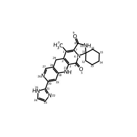 Cc1c2c(c(=O)n3c1C(=O)NC31CCCCC1)Nc1cc(-c3ncc[nH]3)ncc1C2